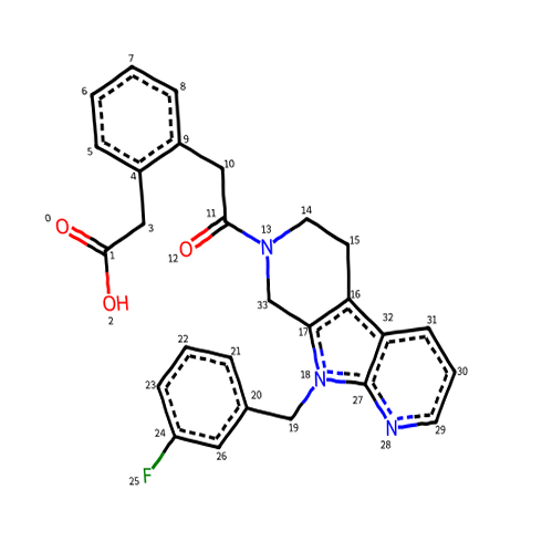 O=C(O)Cc1ccccc1CC(=O)N1CCc2c(n(Cc3cccc(F)c3)c3ncccc23)C1